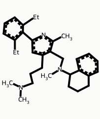 CCc1cccc(CC)c1-c1cc(CCCN(C)C)c(CN(C)C2CCCc3ccccc32)c(C)n1